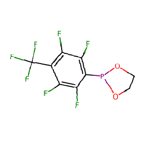 Fc1c(F)c(C(F)(F)F)c(F)c(F)c1P1OCCO1